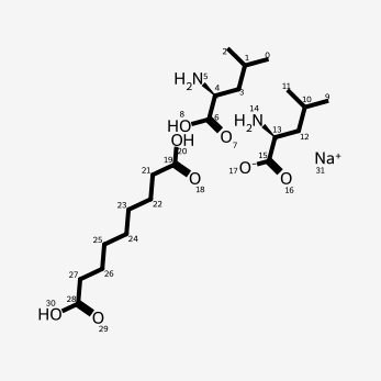 CC(C)C[C@H](N)C(=O)O.CC(C)C[C@H](N)C(=O)[O-].O=C(O)CCCCCCCC(=O)O.[Na+]